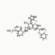 CCC(NC(=O)[C@H](Cc1cnc[nH]1)NC(=O)[C@@H](N)Cc1ccccc1)C(O)CN[C@@H](CC(C)C)C(=O)N[C@H](C(=O)O)C(C)C